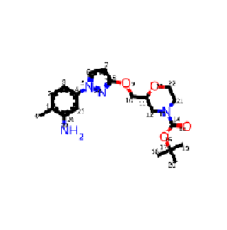 Cc1ccc(-n2ccc(OCC3CN(C(=O)OC(C)(C)C)CCO3)n2)cc1N